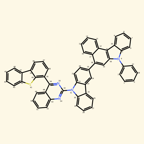 c1ccc(-n2c3ccccc3c3c4ccccc4c(-c4ccc5c(c4)c4ccccc4n5-c4nc(-c5cccc6c5sc5ccccc56)c5ccccc5n4)cc32)cc1